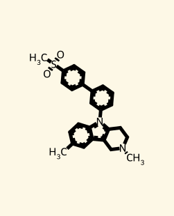 Cc1ccc2c(c1)c1c(n2-c2cccc(-c3ccc(S(C)(=O)=O)cc3)c2)CCN(C)C1